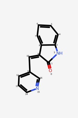 O=C1Nc2ccccc2/C1=C/c1cccnc1